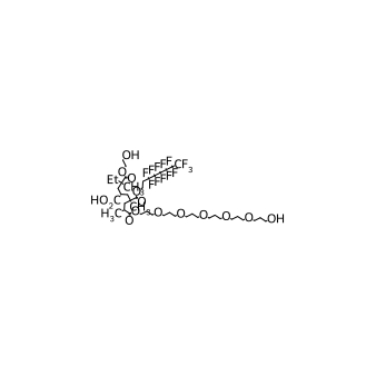 CCC(C)(CC(CC(C)(CC(C)C(=O)OCCCOCCCOCCCOCCCOCCCOCCCO)C(=O)OCCC(F)(F)C(F)(F)C(F)(F)C(F)(F)C(F)(F)C(F)(F)F)C(=O)O)C(=O)OCCO